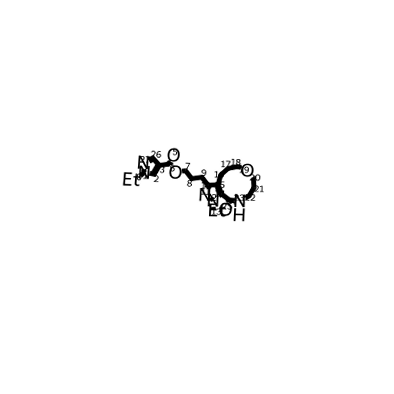 CCn1cc(C(=O)OCCCc2nn(CC)c3c2CCCOCCCNC3=O)cn1